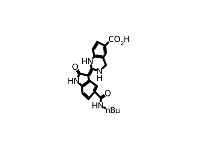 CCCCNC(=O)c1ccc2c(c1)/C(=C1\NCc3cc(C(=O)O)ccc3N1)C(=O)N2